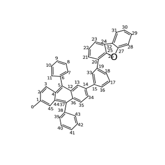 Cc1ccc2c(-c3ccccc3)c3cc(-c4cccc(-c5cccc6c5oc5ccccc56)c4)ccc3c(-c3ccccc3)c2c1